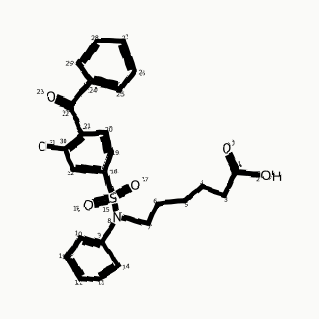 O=C(O)CCCCCN(c1ccccc1)S(=O)(=O)c1ccc(C(=O)c2ccccc2)c(Cl)c1